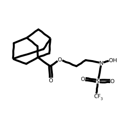 O=C(OCCN(O)S(=O)(=O)C(F)(F)F)C12CC3CC(CC(C3)C1)C2